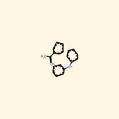 C=C(C)c1ccccc1.c1ccc(Nc2ccccc2)cc1